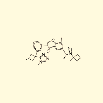 Cc1cc([C@H](C)NC2(C)CCC2)cc2c(=O)c(-c3cccc(C4(c5nncn5C)CC(C)C4)c3)coc12